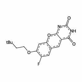 CC(C)(C)CCOc1cc2oc3nc(=O)[nH]c(=O)c-3cc2cc1F